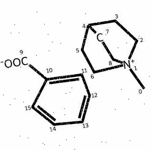 C[N+]12CCC(CC1)CC2.O=C([O-])c1ccccc1